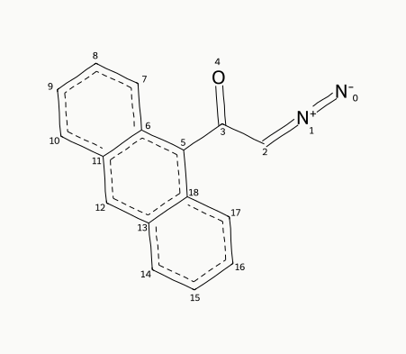 [N-]=[N+]=CC(=O)c1c2ccccc2cc2ccccc12